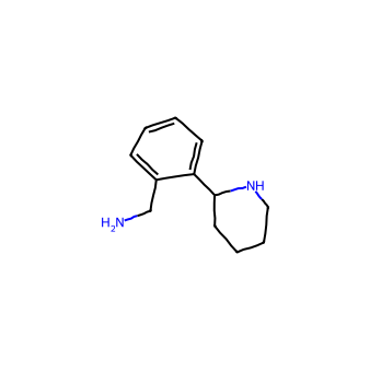 NCc1ccccc1C1CCCCN1